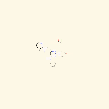 O=C(O)C(F)(F)F.OC1CCN(c2nc3c(c(Nc4ccc(C(F)(F)F)cc4)n2)CCN(c2ncccc2C(F)(F)F)CC3)CC1